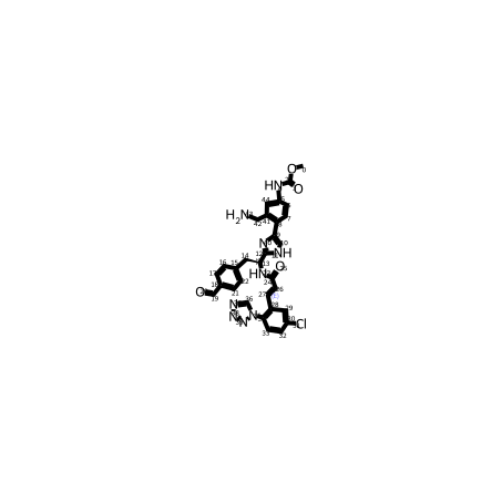 COC(=O)Nc1ccc(-c2c[nH]c([C@H](Cc3ccc(C=O)cc3)NC(=O)/C=C/c3cc(Cl)ccc3-n3cnnn3)n2)c(CN)c1